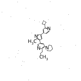 CCCc1ncc(-c2cc(-c3ccnc(C4CCC4)c3)cnc2C)cc1N1CCCCC1